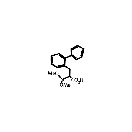 CON(OC)C(Cc1ccccc1-c1ccccc1)C(=O)O